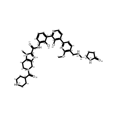 COc1nc(-c2ccnc(-c3cccc(NC(=O)c4nc5c(n4C)CCN(C(=O)C4CCNCC4)C5)c3Cl)c2Cl)ccc1CNC[C@@H]1CCC(=O)N1